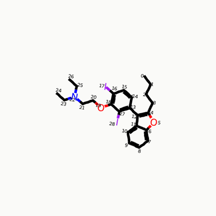 CCCCc1oc2ccccc2c1-c1[c]cc(I)c(OCCN(CC)CC)c1I